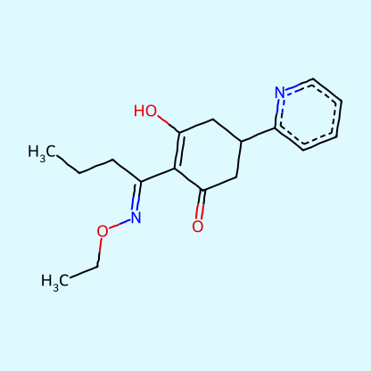 CCCC(=NOCC)C1=C(O)CC(c2ccccn2)CC1=O